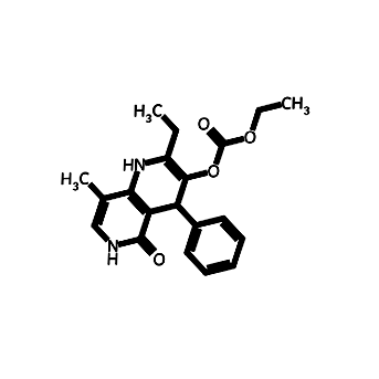 CCOC(=O)OC1=C(CC)Nc2c(C)c[nH]c(=O)c2C1c1ccccc1